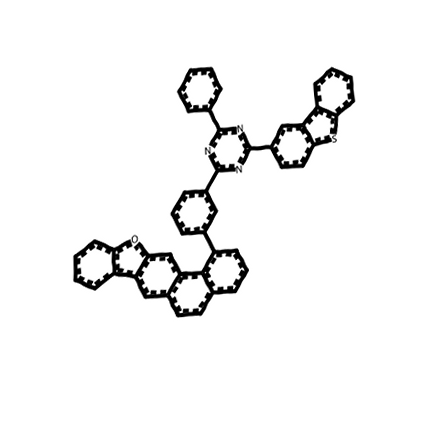 c1ccc(-c2nc(-c3cccc(-c4cccc5ccc6cc7c(cc6c45)oc4ccccc47)c3)nc(-c3ccc4sc5ccccc5c4c3)n2)cc1